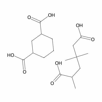 CC(CC(C)(C)CC(=O)O)C(=O)O.O=C(O)C1CCCC(C(=O)O)C1